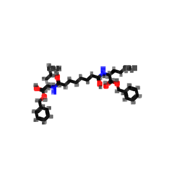 O=C(O)CC[C@H](NC(=O)CCCCCCC(=O)N[C@@H](CCC(=O)O)C(=O)OCc1ccccc1)C(=O)OCc1ccccc1